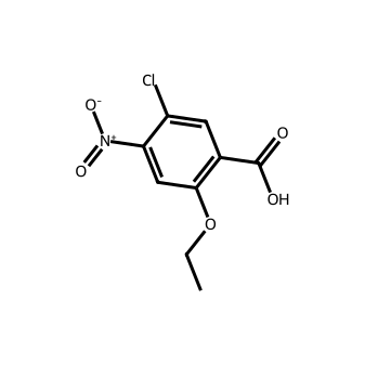 CCOc1cc([N+](=O)[O-])c(Cl)cc1C(=O)O